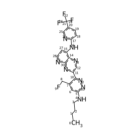 CCCCNc1cc(CF)c(-c2cnc3c(Nc4ccc(C(F)(F)F)cn4)ccnc3n2)nn1